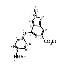 CCOC(=O)c1cc(Oc2cnc(NC(C)=O)cn2)c2cn(CC)nc2c1